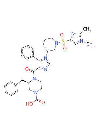 Cc1nc(S(=O)(=O)N2CCCC(n3cnc(C(=O)N4CCN(C(=O)O)C[C@H]4Cc4ccccc4)c3-c3ccccc3)C2)cn1C